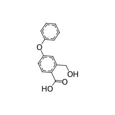 O=C(O)c1ccc(Oc2ccccc2)cc1CO